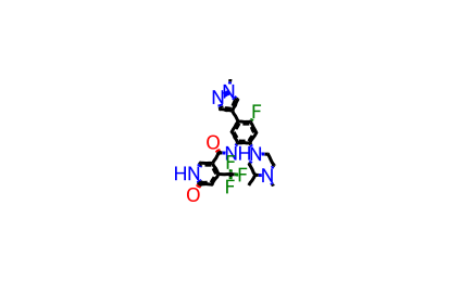 CC1CN(c2cc(F)c(-c3cnn(C)c3)cc2NC(=O)c2c[nH]c(=O)cc2C(F)(F)F)CCN1C